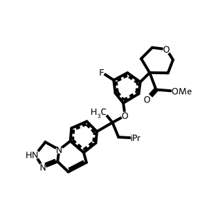 COC(=O)C1(c2cc(F)cc(OC(C)(CC(C)C)c3ccc4c(c3)C=CC3=NNCN34)c2)CCOCC1